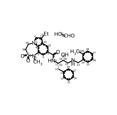 CCc1cn2c3c(cc(C(=O)N[C@@H](Cc4ccccc4)[C@H](O)CNCc4ccccc4C)cc13)N(C)S(=O)(=O)CC2.O=CO